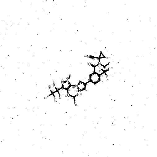 CC(=O)N(C(=O)c1cc(-c2cnn(-c3c(OC(F)F)c(C(F)(F)C(F)(F)F)nn3C)c2)ccc1C(F)(F)F)C1(C#N)CC1